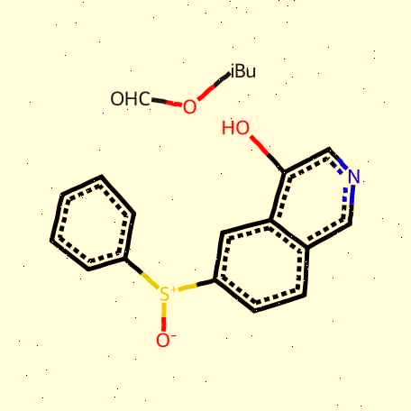 CCC(C)OC=O.[O-][S+](c1ccccc1)c1ccc2cncc(O)c2c1